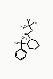 CC(C)(C)OC(=O)N1CCCC[C@H]1C(C)(O)c1ccccc1